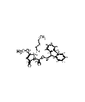 CCCCC[C@H]1C(OC)=CC(=O)N1C(=O)OCC1c2ccccc2-c2ccccc21